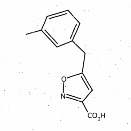 Cc1cccc(Cc2cc(C(=O)O)no2)c1